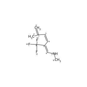 C=C(C)/C=C\C(=C/NC)C(F)(F)F